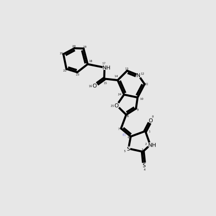 O=C1NC(=S)S/C1=C/c1cc2cncc(C(=O)Nc3ccccc3)c2o1